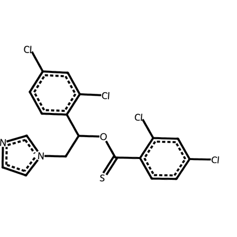 S=C(OC(Cn1ccnc1)c1ccc(Cl)cc1Cl)c1ccc(Cl)cc1Cl